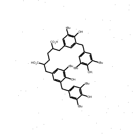 CC(C)(C)c1cc(CC(CCC(Cc2cc(Cc3cc(C(C)(C)C)c(O)c(C(C)(C)C)c3)c(O)c(C(C)(C)C)c2)C(=O)O)C(=O)O)cc(Cc2cc(C(C)(C)C)c(O)c(C(C)(C)C)c2)c1O